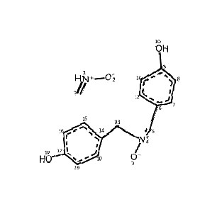 C=[NH+][O-].[O-]/[N+](=C/c1ccc(O)cc1)Cc1ccc(O)cc1